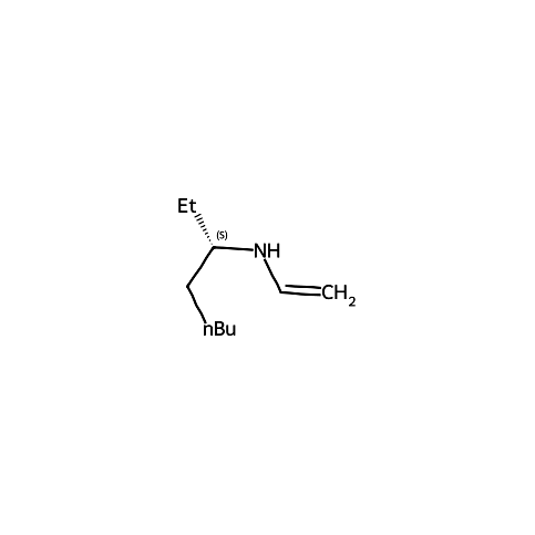 C=CN[C@@H](CC)CCCCC